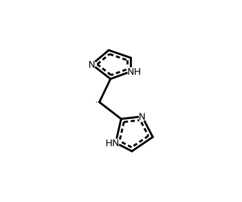 [CH](c1ncc[nH]1)c1ncc[nH]1